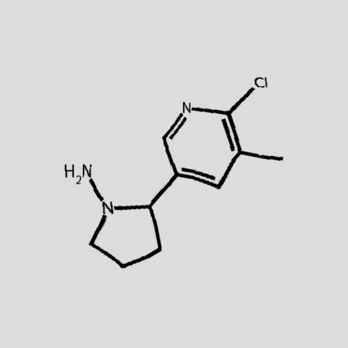 Cc1cc(C2CCCN2N)cnc1Cl